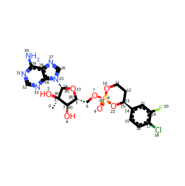 C[C@@]1(O)[C@H](O)[C@@H](CO[P@@]2(=O)OCC[C@@H](c3ccc(Cl)c(F)c3)O2)O[C@H]1n1cnc2c(N)ncnc21